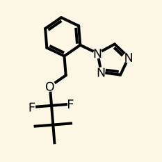 CC(C)(C)C(F)(F)OCc1ccccc1-n1cncn1